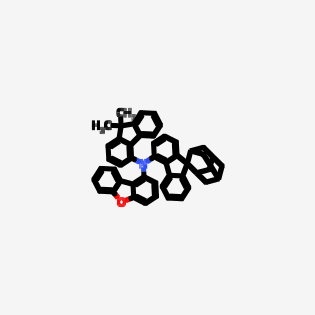 CC1(C)c2ccccc2-c2c(N(c3cccc4c3-c3ccccc3C43C4CC5CC(C4)CC3C5)c3cccc4oc5ccccc5c34)cccc21